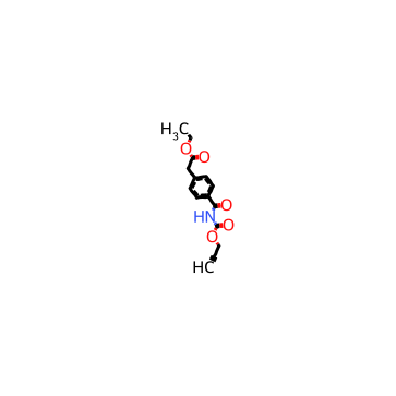 C#CCOC(=O)NC(=O)c1ccc(CC(=O)OCC)cc1